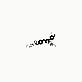 CCOC(=O)Cc1ccc(Cc2cnc(OC)c(-c3ccc(F)c(F)c3)c2)cc1